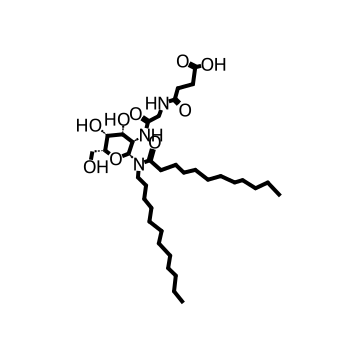 CCCCCCCCCCCCN(C(=O)CCCCCCCCCCC)[C@@H]1O[C@H](CO)[C@H](O)[C@H](O)[C@@H]1NC(=O)CNC(=O)CCC(=O)O